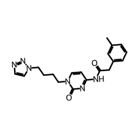 Cc1cccc(CC(=O)Nc2ccn(CCCCn3ccnn3)c(=O)n2)c1